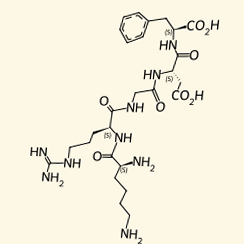 N=C(N)NCCC[C@H](NC(=O)[C@@H](N)CCCCN)C(=O)NCC(=O)N[C@@H](CC(=O)O)C(=O)N[C@@H](Cc1ccccc1)C(=O)O